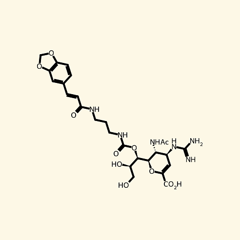 CC(=O)N[C@H]1[C@H]([C@H](OC(=O)NCCCNC(=O)/C=C/c2ccc3c(c2)OCO3)[C@H](O)CO)OC(C(=O)O)=C[C@@H]1NC(=N)N